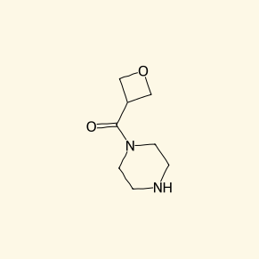 O=C(C1COC1)N1CCNCC1